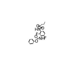 CCCS(=O)(=O)Nc1ccc(F)c(NC(=O)Oc2ccccc2)c1F